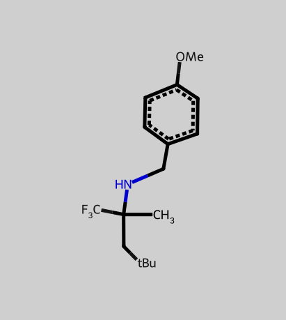 COc1ccc(CNC(C)(CC(C)(C)C)C(F)(F)F)cc1